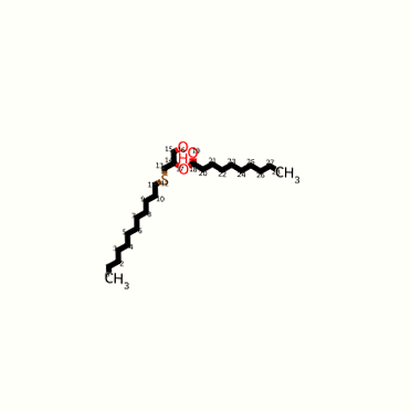 CCCCCCCCCCCCSCC(CO)OC(=O)CCCCCCCCC